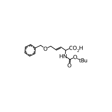 CC(C)(C)OC(=O)NC(C=CCOCc1ccccc1)C(=O)O